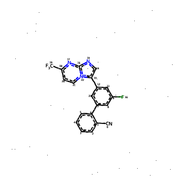 N#Cc1ccccc1-c1cc(F)cc(-c2cnc3nc(C(F)(F)F)ccn23)c1